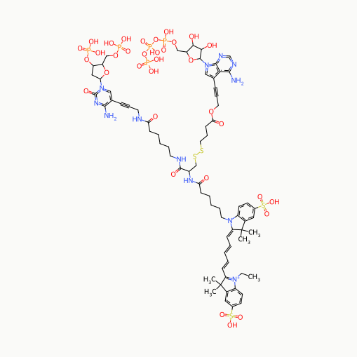 CC[N+]1=C(/C=C/C=C/C=C2/N(CCCCCC(=O)NC(CSSCCCC(=O)OCC#Cc3cn(C4OC(COP(=O)(O)OP(=O)(O)OP(=O)(O)O)C(O)C4O)c4ncnc(N)c34)C(=O)NCCCCCC(=O)NCC#Cc3cn(C4CC(OP(=O)(O)O)C(COP(=O)(O)O)O4)c(=O)nc3N)c3ccc(S(=O)(=O)O)cc3C2(C)C)C(C)(C)c2cc(S(=O)(=O)O)ccc21